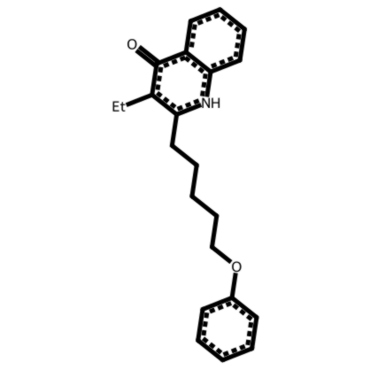 CCc1c(CCCCCOc2ccccc2)[nH]c2ccccc2c1=O